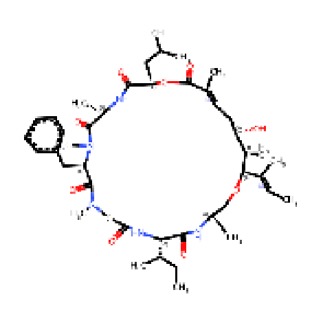 C/C=C(\C)[C@H]1OC[C@@H](C)NC(=O)[C@H](C(C)CC)NC(=O)CN(C)C(=O)[C@@H](Cc2ccccc2)N(C)C(=O)[C@H](C)NC(=O)[C@@H](CC(C)C)OC(=O)/C(C)=C/C[C@H](O)[C@H]1C